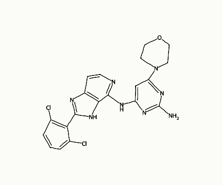 Nc1nc(Nc2nccc3nc(-c4c(Cl)cccc4Cl)[nH]c23)cc(N2CCOCC2)n1